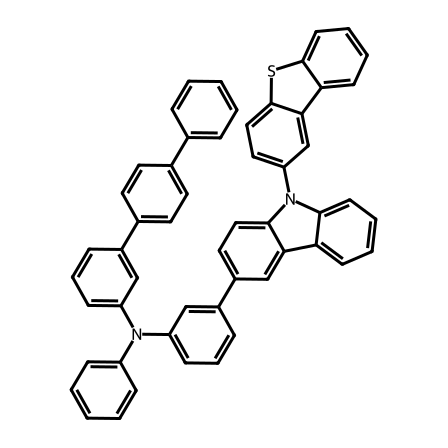 c1ccc(-c2ccc(-c3cccc(N(c4ccccc4)c4cccc(-c5ccc6c(c5)c5ccccc5n6-c5ccc6sc7ccccc7c6c5)c4)c3)cc2)cc1